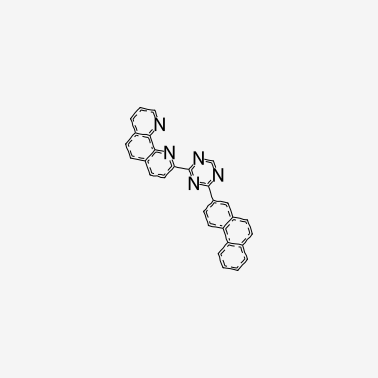 c1ccc2c(c1)ccc1cc(-c3ncnc(-c4ccc5ccc6cccnc6c5n4)n3)ccc12